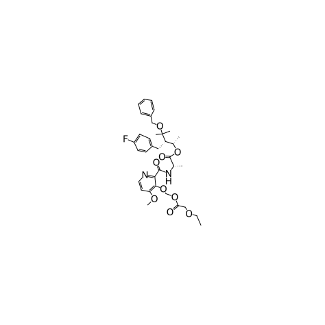 CCOCC(=O)OCOc1c(OC)ccnc1C(=O)N[C@@H](C)C(=O)O[C@@H](C)[C@H](Cc1ccc(F)cc1)C(C)(C)OCc1ccccc1